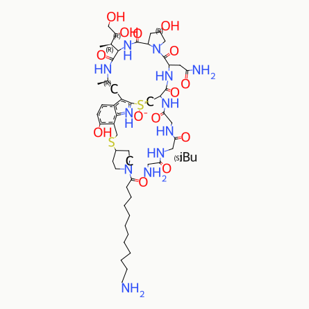 CC[C@H](C)C(NC(=O)CN)C(=O)NCC(=O)NC1C[S+]([O-])c2[nH]c3c(CSC4CCN(C(=O)CCCCCCCCCCCN)CC4)c(O)ccc3c2C[C@@H](C)NC(=O)C([C@@H](C)[C@@H](O)CO)NC(=O)C2C[C@@H](O)CN2C(=O)C(CC(N)=O)NC1=O